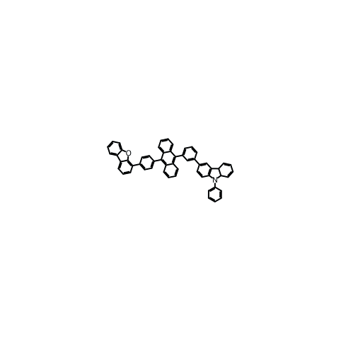 C1=CC2c3cc(-c4cccc(-c5c6ccccc6c(-c6ccc(-c7cccc8c7oc7ccccc78)cc6)c6ccccc56)c4)ccc3N(c3ccccc3)C2C=C1